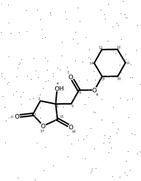 O=C1CC(O)(CC(=O)OC2CCCCC2)C(=O)O1